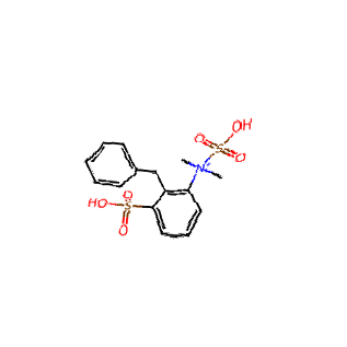 C[N+](C)(c1cccc(S(=O)(=O)O)c1Cc1ccccc1)S(=O)(=O)O